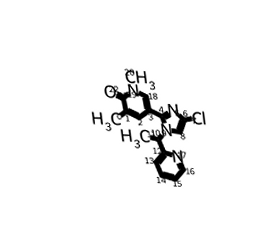 Cc1cc(-c2nc(Cl)cn2C(C)c2ccccn2)cn(C)c1=O